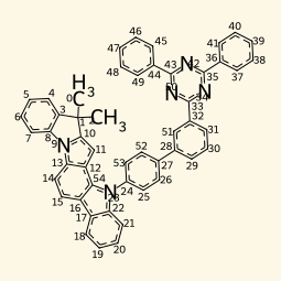 CC1(C)c2ccccc2-n2c1cc1c2ccc2c3ccccc3n(-c3ccc(-c4cccc(-c5nc(-c6ccccc6)nc(-c6ccccc6)n5)c4)cc3)c21